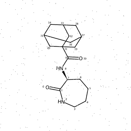 O=C1NCCCC[C@@H]1NC(=O)C12CC3CC(CC(C3)C1)C2